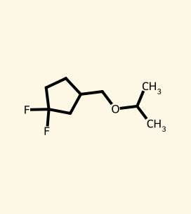 CC(C)OCC1CCC(F)(F)C1